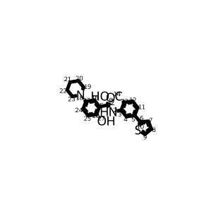 O=C(Nc1cc(-c2cccs2)ccc1C(=O)O)c1cc(N2CCCCC2)ccc1O